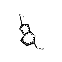 CNc1ccn2nc(C)cc2n1